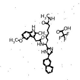 CNC(=O)CCCCC[C@H](NC(=O)Cc1c(C)[nH]c2ccc(OC)cc12)c1ncc(-c2ccc3ccccc3c2)[nH]1.O=C(O)C(F)(F)F